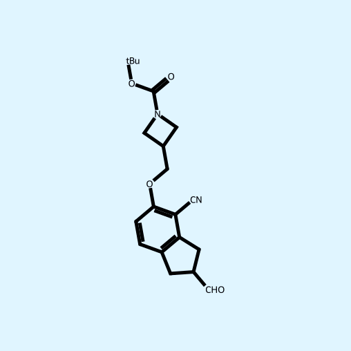 CC(C)(C)OC(=O)N1CC(COc2ccc3c(c2C#N)CC(C=O)C3)C1